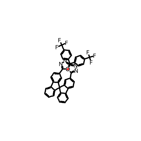 FC(F)(F)c1ccc(-c2nnc(-c3ccc4c(c3)C3(c5ccccc5-4)c4ccccc4-c4ccc(-c5nnc(-c6ccc(C(F)(F)F)cc6)o5)cc43)o2)cc1